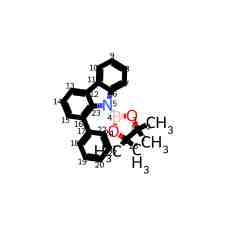 CC1(C)OB(n2c3ccccc3c3cccc(-c4ccccc4)c32)OC1(C)C